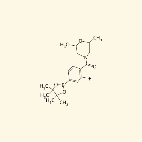 CC1CN(C(=O)c2ccc(B3OC(C)(C)C(C)(C)O3)cc2F)CC(C)O1